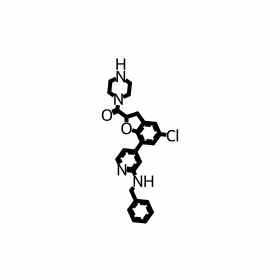 O=C(C1Cc2cc(Cl)cc(-c3ccnc(NCc4ccccc4)c3)c2O1)N1CCNCC1